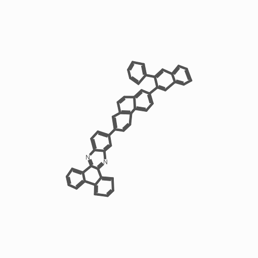 c1ccc(-c2cc3ccccc3cc2-c2ccc3c(ccc4cc(-c5ccc6nc7c8ccccc8c8ccccc8c7nc6c5)ccc43)c2)cc1